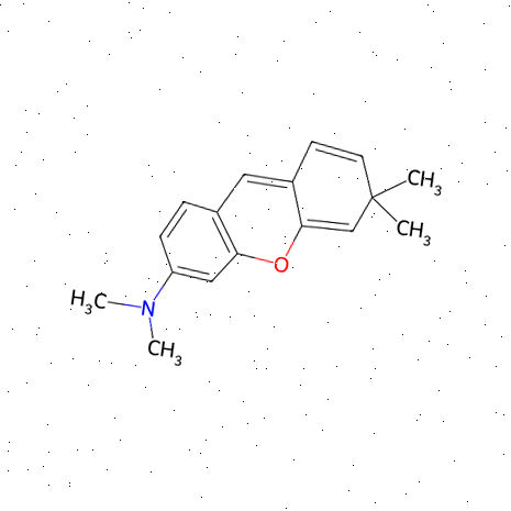 CN(C)c1ccc2c(c1)OC1=CC(C)(C)C=CC1=C2